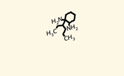 CCCC(CC)C1(N)CCCCC1N